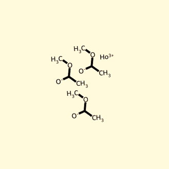 COC(C)[O-].COC(C)[O-].COC(C)[O-].[Ho+3]